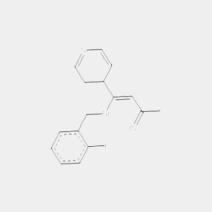 CC(=N)/C=C(\NCc1ccccc1F)C1C=CN=CC1